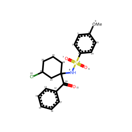 COc1ccc(S(=O)(=O)NC2(C(=O)c3ccccc3)CCCC(Cl)C2)cc1